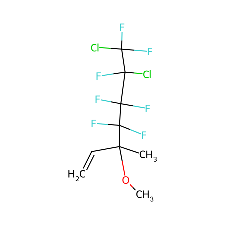 C=CC(C)(OC)C(F)(F)C(F)(F)C(F)(Cl)C(F)(F)Cl